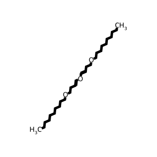 CCCCCCCCCCOCCC=COC=CCCOCCCCCCCCCC